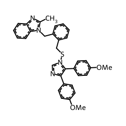 COc1ccc(-c2ncn(SCc3ccccc3Cn3c(C)nc4ccccc43)c2-c2ccc(OC)cc2)cc1